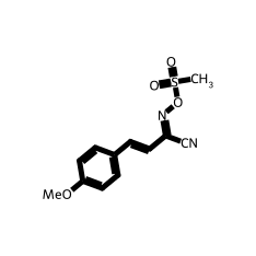 COc1ccc(C=CC(C#N)=NOS(C)(=O)=O)cc1